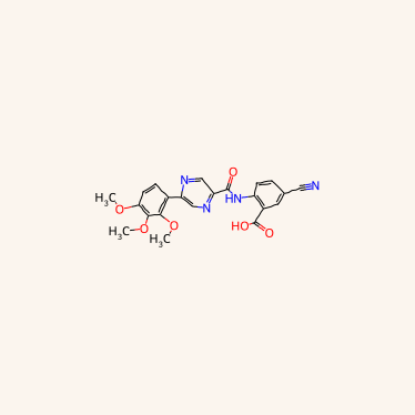 COc1ccc(-c2cnc(C(=O)Nc3ccc(C#N)cc3C(=O)O)cn2)c(OC)c1OC